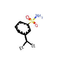 CCC(CC)c1cccc(S(N)(=O)=O)c1